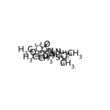 COC1CCC2C(=O)C(N=Nc3nc4cc(C)cc(C)c4s3)=C(O)C2C1C(C)C